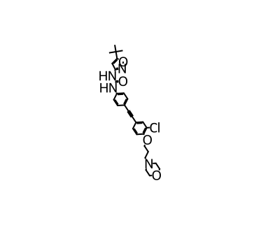 CC(C)(C)c1cc(NC(=O)Nc2ccc(C#Cc3ccc(OCCCN4CCOCC4)c(Cl)c3)cc2)no1